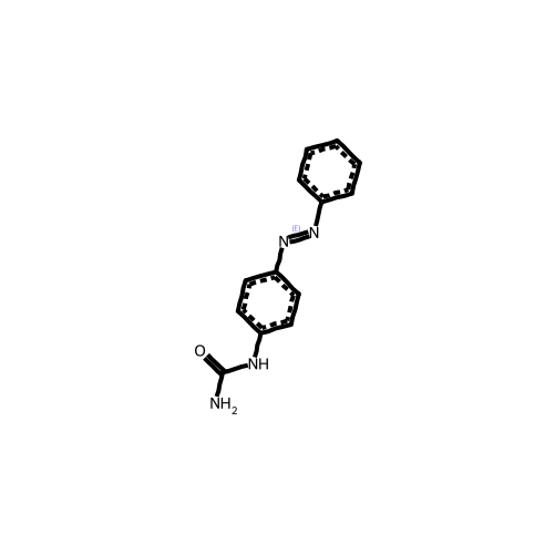 NC(=O)Nc1ccc(/N=N/c2ccccc2)cc1